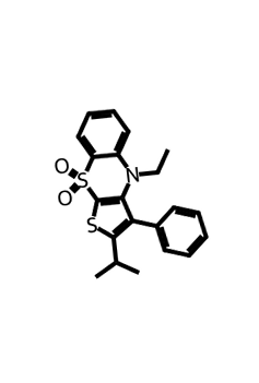 CCN1c2ccccc2S(=O)(=O)c2sc(C(C)C)c(-c3ccccc3)c21